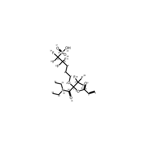 C=CC(=O)OC(OCCCC(F)(F)C(F)(F)S(=O)(=O)O)(C(=O)N(CC)CC)C(F)(F)F